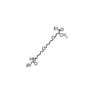 CCC(=O)C(C)CCOCCCCCOCCCCCNC(=O)CC(C)C